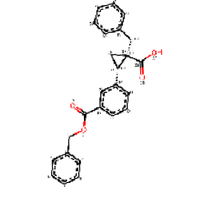 O=C(OCc1ccccc1)c1cccc([C@@H]2C[C@@]2(Cc2ccccc2)C(=O)O)c1